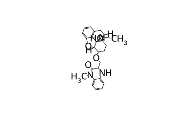 CN1C(=O)C(CO[C@@H]2CCC3(O)[C@H]4Cc5cccc6c5[C@@]3(CCN4C)[C@H]2O6)Nc2ccccc21